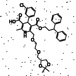 CC1=C(C(=O)O)C(c2cccc(Cl)c2)C(C(=O)OCCC(c2ccccc2)c2ccccc2)=C(COCCOCC2COC(C)(C)O2)N1